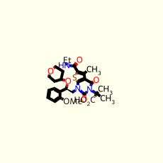 CCNC(=O)c1sc2c(c1C)c(=O)n(C(C)(C)C(=O)O)c(=O)n2C[C@H](OC1CCOCC1)c1ccccc1OC